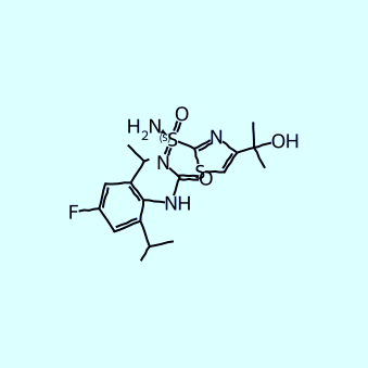 CC(C)c1cc(F)cc(C(C)C)c1NC(=O)N=[S@](N)(=O)c1nc(C(C)(C)O)cs1